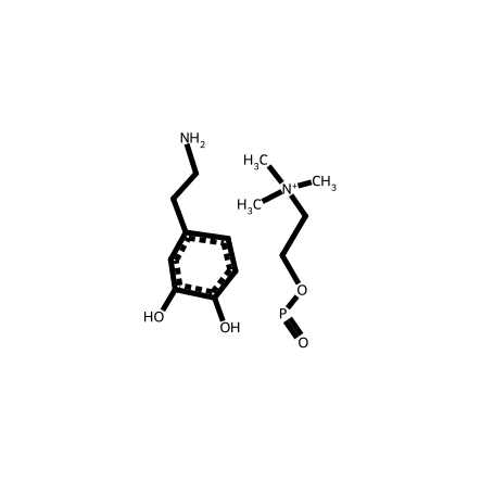 C[N+](C)(C)CCOP=O.NCCc1ccc(O)c(O)c1